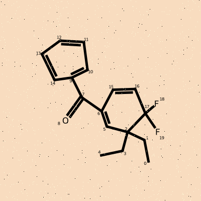 CCC1(CC)C=C(C(=O)c2ccccc2)C=CC1(F)F